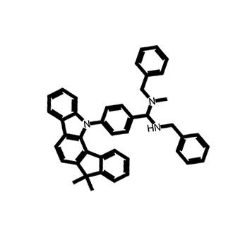 CN(Cc1ccccc1)C(NCc1ccccc1)c1ccc(-n2c3ccccc3c3ccc4c(c32)-c2ccccc2C4(C)C)cc1